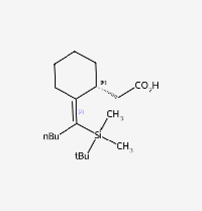 CCCC/C(=C1\CCCC[C@@H]1CC(=O)O)[Si](C)(C)C(C)(C)C